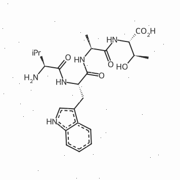 CC(C)[C@H](N)C(=O)N[C@@H](Cc1c[nH]c2ccccc12)C(=O)N[C@@H](C)C(=O)N[C@H](C(=O)O)[C@@H](C)O